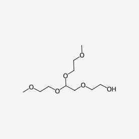 COCCOC(COCCO)OCCOC